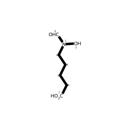 O=CN(O)CCCCC(=O)O